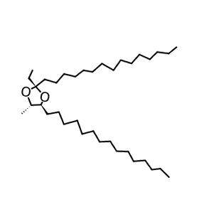 CCCCCCCCCCCCCCC[C@@H]1O[C@@](CC)(CCCCCCCCCCCCCCC)O[C@H]1C